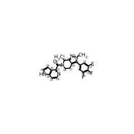 CC1c2nn(C)c(-c3cc(F)c(F)c(F)c3)c2CCN1C(=O)c1nccc2[nH]ccc12